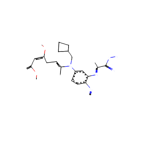 C=Nc1ccc(N(CC2CCC2)/C(C)=C/C/C(=C\C(=C)OC)OC)cc1/N=C(\C)C(=N)NN